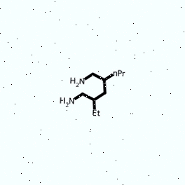 CCCC(CN)CC(CC)CN